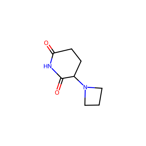 O=C1CCC(N2CCC2)C(=O)N1